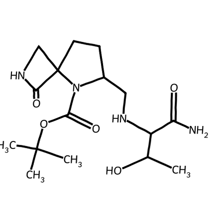 CC(O)C(NCC1CCC2(CNC2=O)N1C(=O)OC(C)(C)C)C(N)=O